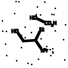 CCCC(CC)CO.O=C(O)O